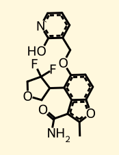 Cc1oc2ccc(OCc3cccnc3O)c(C3COCC3(F)F)c2c1C(N)=O